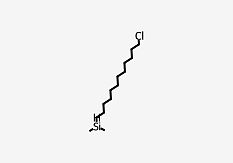 C[SiH](C)CCCCCCCCCCCCCl